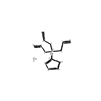 C=CC[PH](CC=C)(CC=C)C1=CC=CC1.[Cu]